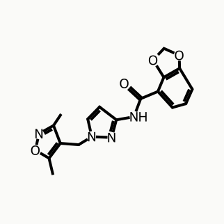 Cc1noc(C)c1Cn1ccc(NC(=O)c2cccc3c2OCO3)n1